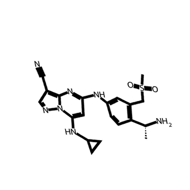 C[C@@H](N)c1ccc(Nc2cc(NC3CC3)n3ncc(C#N)c3n2)cc1CS(C)(=O)=O